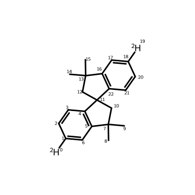 [2H]c1ccc2c(c1)C(C)(C)CC21CC(C)(C)c2cc([2H])ccc21